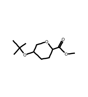 COC(=O)C1CCC(OC(C)(C)C)CO1